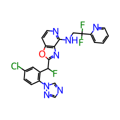 FC(c1nc2c(NCC(F)(F)c3ccccn3)nccc2o1)c1cc(Cl)ccc1-n1cncn1